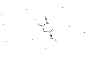 C=NN(C)C/C(C)=C/C